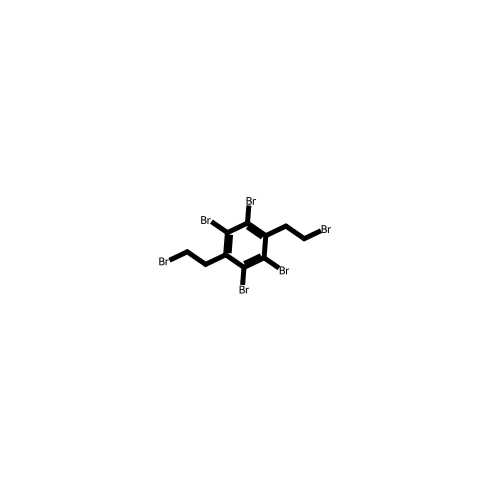 BrCCc1c(Br)c(Br)c(CCBr)c(Br)c1Br